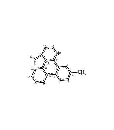 Cc1ccc2c(c1)c1nccc3sc4cccc2c4c31